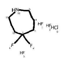 Cl.F.F.F.FC1(F)CCCNCC1